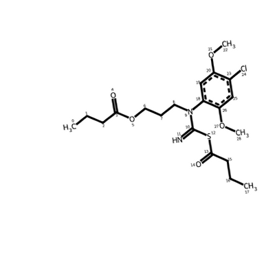 CCCC(=O)OCCCN(C(=N)SC(=O)CCC)c1cc(OC)c(Cl)cc1OC